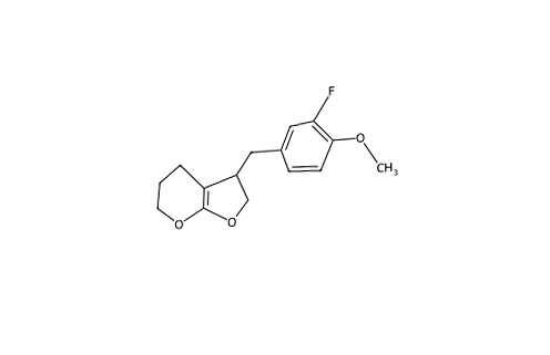 COc1ccc(CC2COC3=C2CCCO3)cc1F